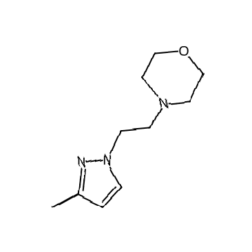 Cc1ccn(CCN2CCOCC2)n1